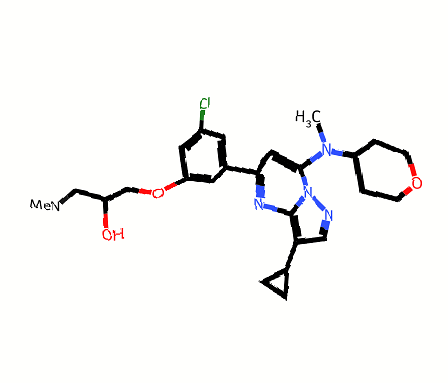 CNCC(O)COc1cc(Cl)cc(-c2cc(N(C)C3CCOCC3)n3ncc(C4CC4)c3n2)c1